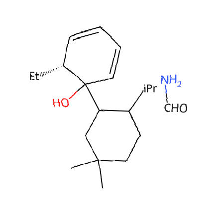 CC[C@@H]1C=CC=CC1(O)C1CC(C)(C)CCC1C(C)C.NC=O